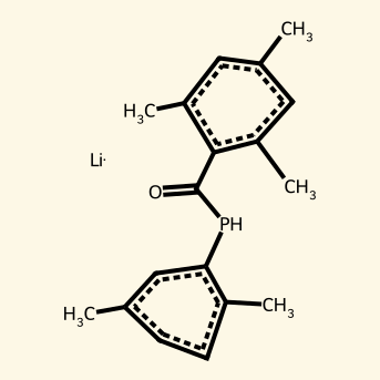 Cc1cc(C)c(C(=O)Pc2cc(C)ccc2C)c(C)c1.[Li]